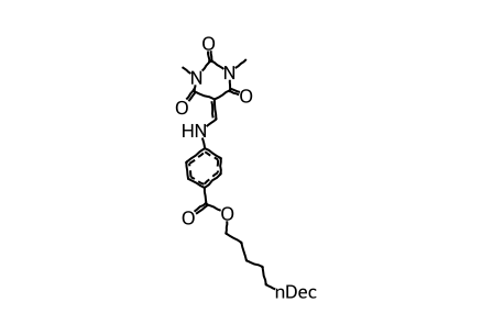 CCCCCCCCCCCCCCCOC(=O)c1ccc(NC=C2C(=O)N(C)C(=O)N(C)C2=O)cc1